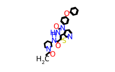 C=CC(=O)N1CCC[C@@H](NC(=O)c2sc3nccc4c3c2NC(=O)N4c2ccc(Oc3ccccc3)cc2)C1